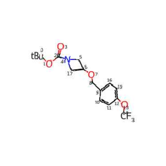 CC(C)(C)OC(=O)N1CC(OCc2ccc(OC(F)(F)F)cc2)C1